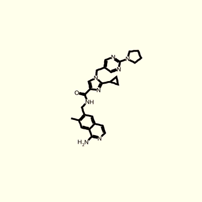 Cc1cc2c(N)nccc2cc1CNC(=O)c1cn(Cc2cnc(N3CCCC3)nc2)c(C2CC2)n1